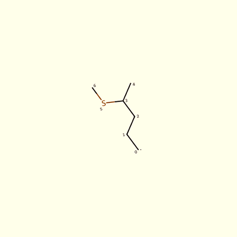 [CH2]CCC(C)SC